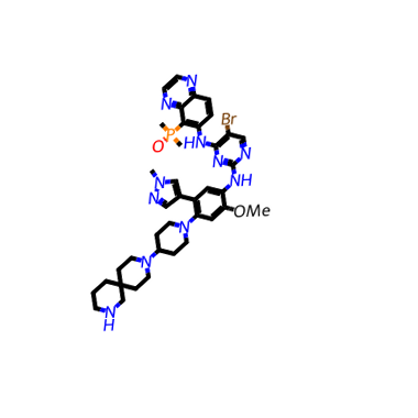 COc1cc(N2CCC(N3CCC4(CCCNC4)CC3)CC2)c(-c2cnn(C)c2)cc1Nc1ncc(Br)c(Nc2ccc3nccnc3c2P(C)(C)=O)n1